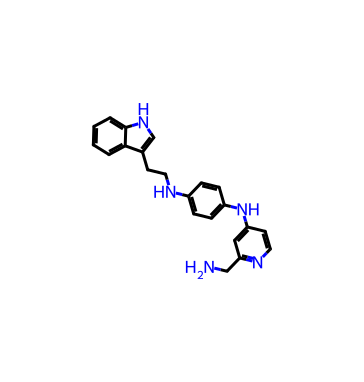 NCc1cc(Nc2ccc(NCCc3c[nH]c4ccccc34)cc2)ccn1